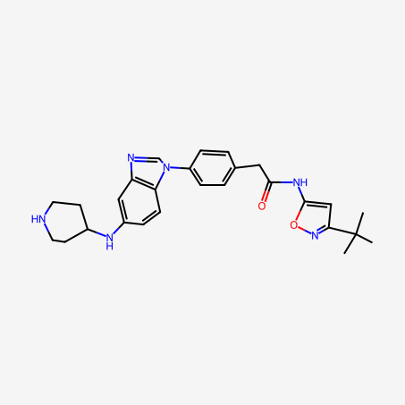 CC(C)(C)c1cc(NC(=O)Cc2ccc(-n3cnc4cc(NC5CCNCC5)ccc43)cc2)on1